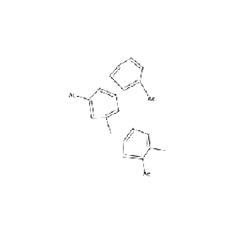 CC(=O)c1cccc(C)c1.CC(=O)c1ccccc1.CC(=O)c1ccccc1C